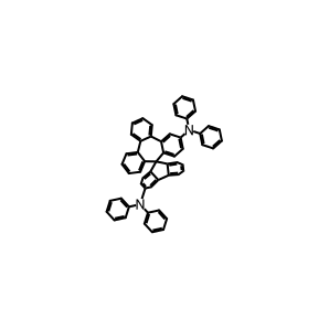 c1ccc(N(c2ccccc2)c2ccc3c(c2)-c2ccccc2-c2ccccc2C32c3ccccc3-c3cc(N(c4ccccc4)c4ccccc4)ccc32)cc1